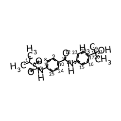 CC(C)S(=O)(=O)Nc1ccc(C(=O)Nc2ccc(C(C)(C)O)cc2)cc1